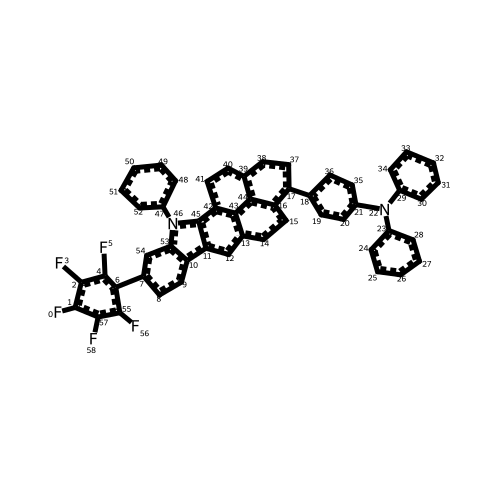 Fc1c(F)c(F)c(-c2ccc3c4cc5ccc6c(-c7ccc(N(c8ccccc8)c8ccccc8)cc7)ccc7ccc(c5c76)c4n(-c4ccccc4)c3c2)c(F)c1F